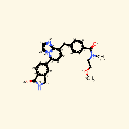 COCCN(C)C(=O)c1ccc(Cc2ccc(-c3ccc4c(c3)CNC4=O)n3ccnc23)cc1